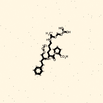 C=C(NCCCCC(NC(CCc1ccccc1)COOCC)C(=O)N1CCCC1C(=O)O)OCON(O)O